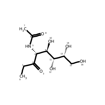 CCC(=O)[C@H](NC(C)=O)[C@@H](O)[C@@H](O)[C@H](O)CO